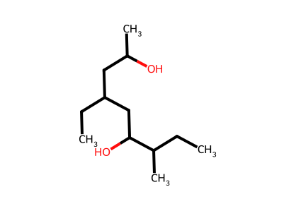 CCC(CC(C)O)CC(O)C(C)CC